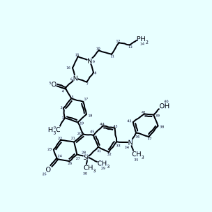 Cc1cc(C(=O)N2CCN(CCCCP)CC2)ccc1C1=C2C=CC(=O)C=C2[Si](C)(C)c2cc(N(C)c3ccc(O)cc3)ccc21